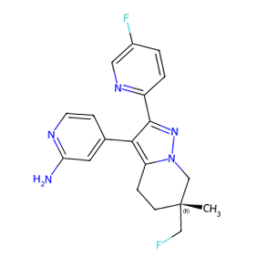 C[C@@]1(CF)CCc2c(-c3ccnc(N)c3)c(-c3ccc(F)cn3)nn2C1